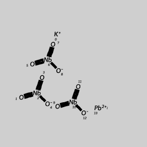 [K+].[O]=[Nb](=[O])[O-].[O]=[Nb](=[O])[O-].[O]=[Nb](=[O])[O-].[Pb+2]